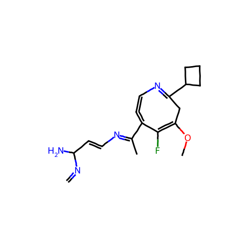 C=NC(N)C=C/N=C(\C)C1=C=C/N=C(/C2CCC2)C/C(OC)=C\1F